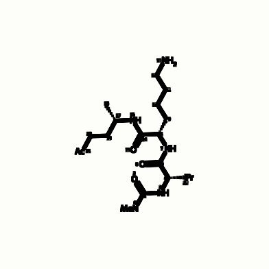 CNC(=O)N[C@H](C(=O)N[C@@H](CCCCN)C(=O)N[C@@H](C)CCC(C)=O)C(C)C